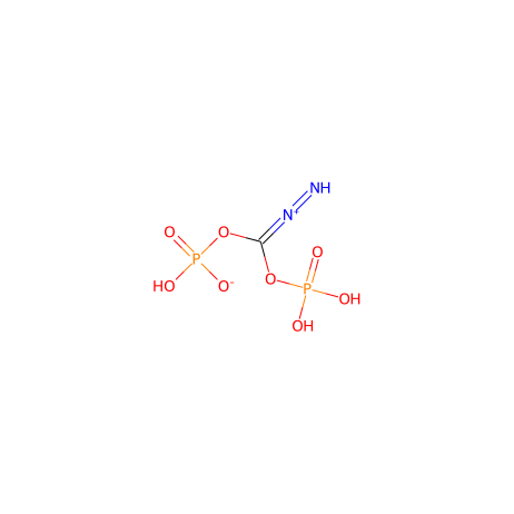 N=[N+]=C(OP(=O)([O-])O)OP(=O)(O)O